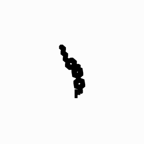 CCCCCC1CCC(C2(C)C=CC(C3CCC(CF)CC3)=CC2)CC1